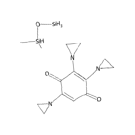 C[SiH](C)O[SiH3].O=C1C=C(N2CC2)C(=O)C(N2CC2)=C1N1CC1